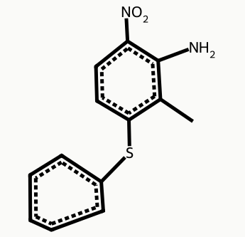 Cc1c(Sc2ccccc2)ccc([N+](=O)[O-])c1N